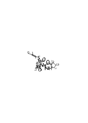 CC#CSNC(=O)N(C(=N)OC1CCCC1)C(=O)N(C)C